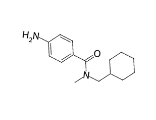 CN(CC1CCCCC1)C(=O)c1ccc(N)cc1